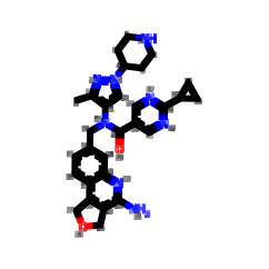 Cc1nn(C2CCNCC2)cc1N(Cc1ccc2c3c(c(N)nc2c1)COC3)C(=O)c1cnc(C2CC2)nc1